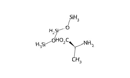 C[C@H](N)C(=O)O.[SiH3]O[SiH2]O[SiH3]